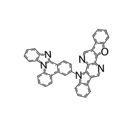 c1ccc2c(c1)nc1c3ccc(-n4c5ccccc5c5cnc6c(ncc7c8ccccc8oc76)c54)cc3c3ccccc3n21